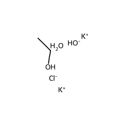 CCO.O.[Cl-].[K+].[K+].[OH-]